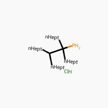 CCCCCCCC(CCCCCCC)C(P)(CCCCCCC)CCCCCCC.Cl